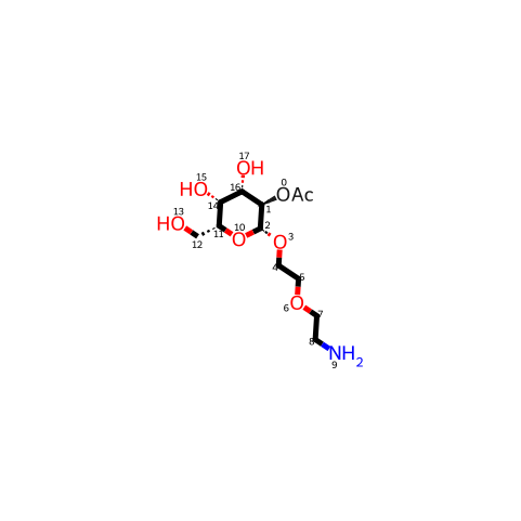 CC(=O)O[C@H]1[C@H](OCCOCCN)O[C@H](CO)[C@H](O)[C@@H]1O